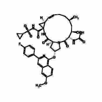 COc1ccc2c(O[C@@H]3C[C@H]4C(=O)N[C@]5(C(=O)NS(=O)(=O)C6CC6)C[C@H]5/C=C\CC[C@@H](C)C[C@@H](C)[C@H](NC(=O)O)C(=O)N4C3)nc(-c3ccc(F)cc3)cc2c1